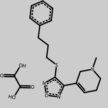 CN1CCC=C(c2nonc2SCCCc2ccccc2)C1.O=C(O)C(=O)O